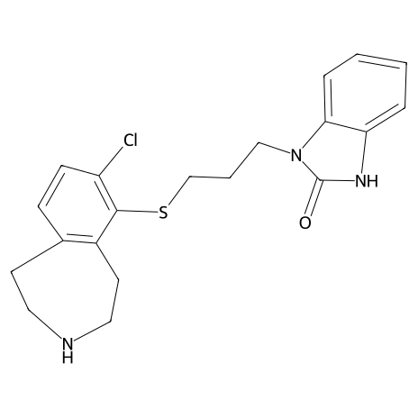 O=c1[nH]c2ccccc2n1CCCSc1c(Cl)ccc2c1CCNCC2